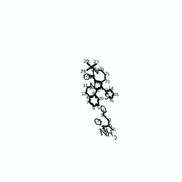 CC(CCOc1ccc2c(c1)-c1c(-c3cccs3)c3c(n1CC2)C(=O)N(C(C)(C)C)CCC3)C(N)=O